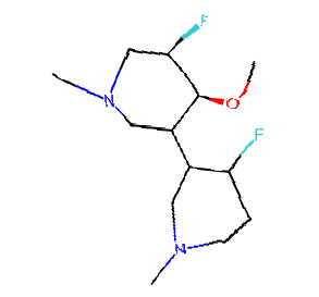 CO[C@H]1C(C2CN(C)CCC2F)CN(C)C[C@H]1F